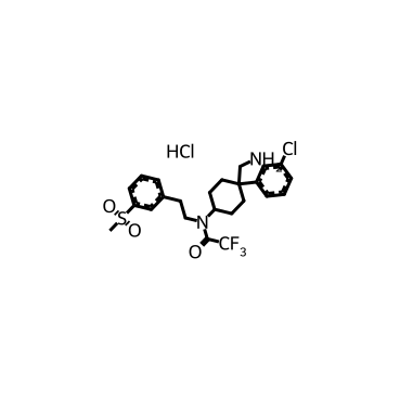 CS(=O)(=O)c1cccc(CCN(C(=O)C(F)(F)F)C2CCC(CN)(c3cccc(Cl)c3)CC2)c1.Cl